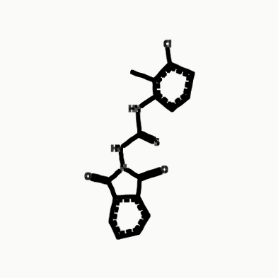 Cc1c(Cl)cccc1NC(=S)NN1C(=O)c2ccccc2C1=O